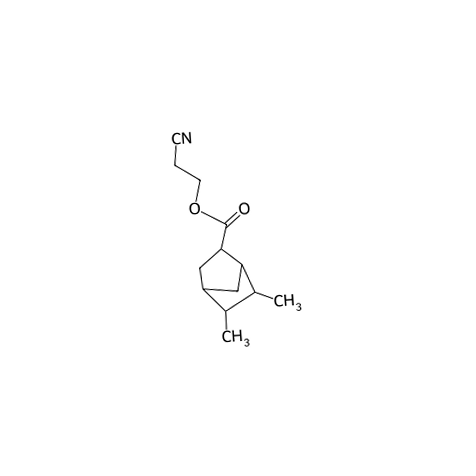 CC1C2CC(C(=O)OCCC#N)C(C2)C1C